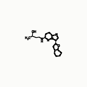 CC(O)CCNc1ccc2ncc(-c3cc4ccccc4o3)n2n1